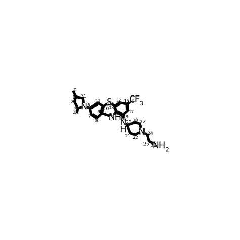 CC1CC(C)N(c2ccc3c(c2)Sc2cc(C(F)(F)F)cc(NC4CCN(CCN)CC4)c2N3)C1